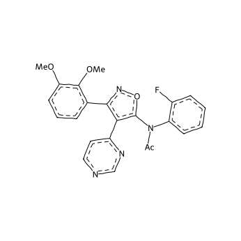 COc1cccc(-c2noc(N(C(C)=O)c3ccccc3F)c2-c2ccncn2)c1OC